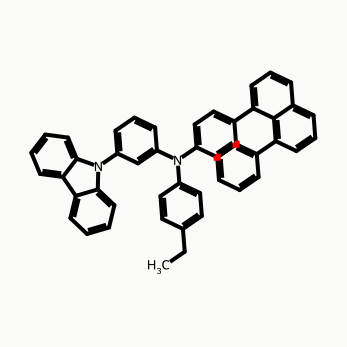 CCc1ccc(N(c2ccc(-c3cccc4cccc(-c5ccccc5)c34)cc2)c2cccc(-n3c4ccccc4c4ccccc43)c2)cc1